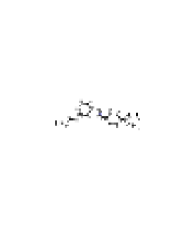 CN(C)c1ccc(/N=N/c2ccc[n+](CCCBr)c2)cc1